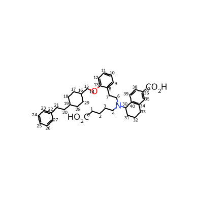 O=C(O)CCCCN(CCc1ccccc1OCC1CCC(CCc2ccccc2)CC1)C1CCCc2cc(C(=O)O)ccc21